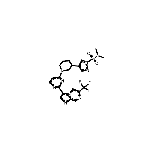 CN(C)S(=O)(=O)n1cc(C2CCCN(c3ccnc(-c4cnc5cnc(C(F)(F)F)cn45)n3)C2)cn1